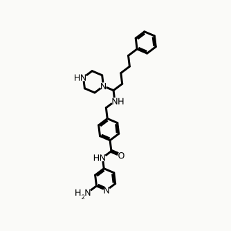 Nc1cc(NC(=O)c2ccc(CNC(CCCCc3ccccc3)N3CCNCC3)cc2)ccn1